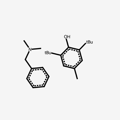 CN(C)Cc1ccccc1.Cc1cc(C(C)(C)C)c(O)c(C(C)(C)C)c1